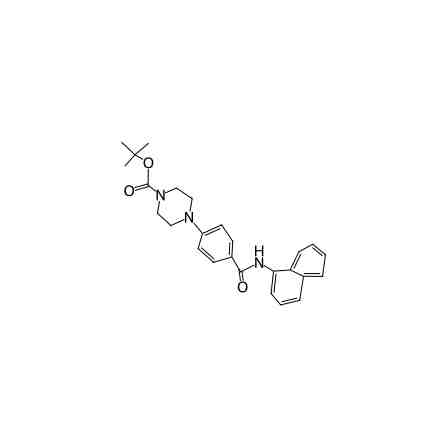 CC(C)(C)OC(=O)N1CCN(c2ccc(C(=O)Nc3cccc4ccccc34)cc2)CC1